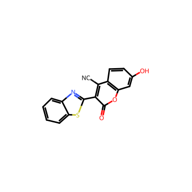 N#Cc1c(-c2nc3ccccc3s2)c(=O)oc2cc(O)ccc12